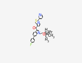 CC(C)C(C)(C)[SiH2]OCCn1cc(C(=O)c2ccn3c2CSC3c2cccnc2)c2ccc(-c3ccc(F)cc3)cc21